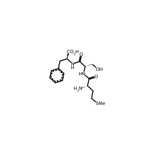 CSCC[C@H](N)C(=O)N[C@@H](CO)C(=O)N[C@@H](Cc1ccccc1)C(=O)O